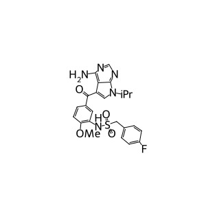 COc1ccc(C(=O)c2cn(C(C)C)c3ncnc(N)c23)cc1NS(=O)(=O)Cc1ccc(F)cc1